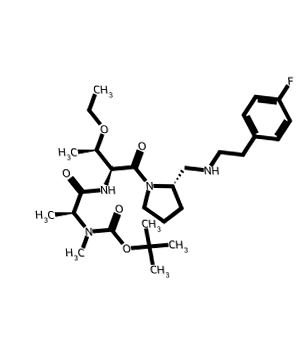 CCO[C@H](C)[C@H](NC(=O)[C@H](C)N(C)C(=O)OC(C)(C)C)C(=O)N1CCC[C@H]1CNCCc1ccc(F)cc1